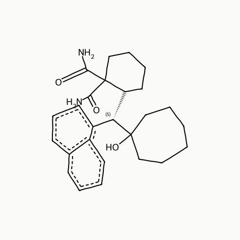 NC(=O)C1(C(N)=O)CCCCC1[C@@H](c1cccc2ccccc12)C1(O)CCCCCC1